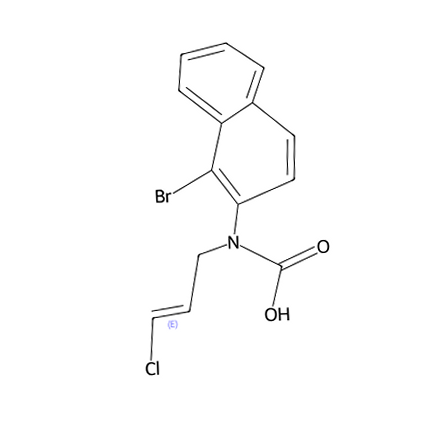 O=C(O)N(C/C=C/Cl)c1ccc2ccccc2c1Br